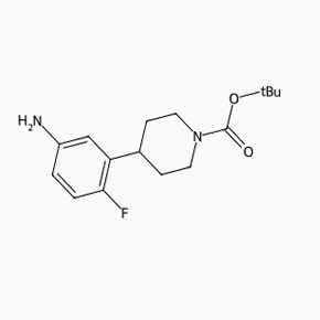 CC(C)(C)OC(=O)N1CCC(c2cc(N)ccc2F)CC1